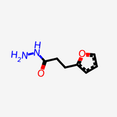 NNC(=O)CCc1ccco1